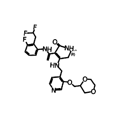 C=C(Nc1cccc(F)c1CC(F)F)C1=C(NCc2ccncc2OCC2COCCO2)C[C@@H](C)NC1=O